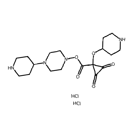 Cl.Cl.O=C(ON1CCN(C2CCNCC2)CC1)C1(OC2CCNCC2)C(=O)C1=O